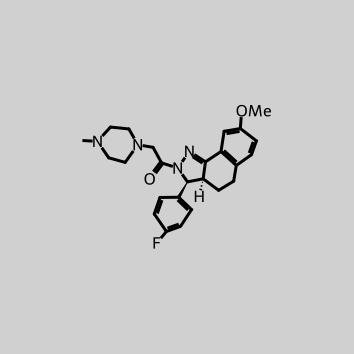 COc1ccc2c(c1)C1=NN(C(=O)CN3CCN(C)CC3)[C@H](c3ccc(F)cc3)[C@@H]1CC2